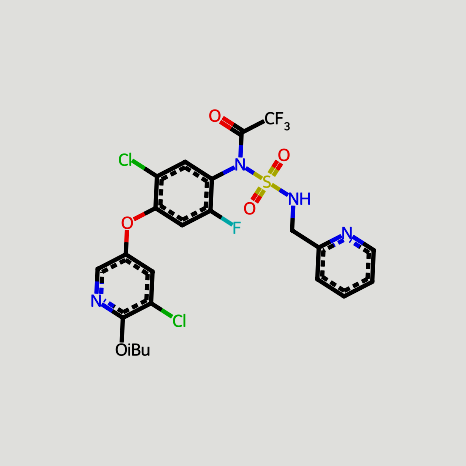 CC(C)COc1ncc(Oc2cc(F)c(N(C(=O)C(F)(F)F)S(=O)(=O)NCc3ccccn3)cc2Cl)cc1Cl